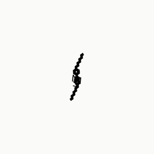 CCCCCCCCc1ccc(-c2cn3cc(CCCCCCCC)sc3n2)cc1